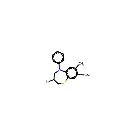 CCC1CSc2cc(OC)c(C)cc2N(c2ccccc2)C1